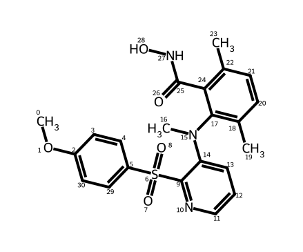 COc1ccc(S(=O)(=O)c2ncccc2N(C)c2c(C)ccc(C)c2C(=O)NO)cc1